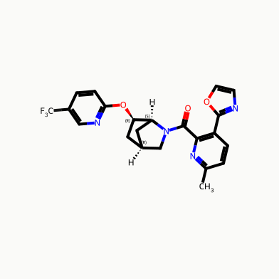 Cc1ccc(-c2ncco2)c(C(=O)N2C[C@H]3C[C@@H](Oc4ccc(C(F)(F)F)cn4)[C@@H]2C3)n1